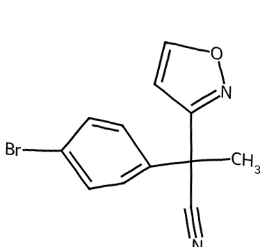 CC(C#N)(c1ccc(Br)cc1)c1ccon1